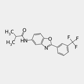 CC(C)C(=O)Nc1ccc2oc(-c3cccc(C(F)(F)F)c3)nc2c1